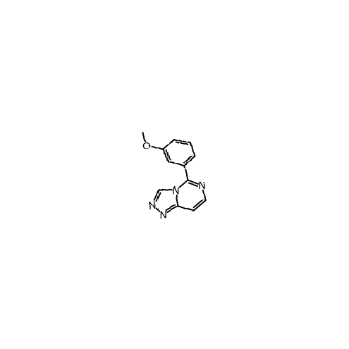 COc1cccc(-c2nccc3nncn23)c1